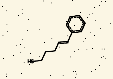 SCCCC=Cc1ccccc1